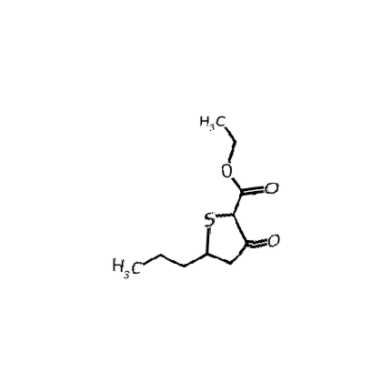 CCCC1CC(=O)C(C(=O)OCC)S1